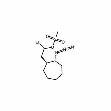 CCC(C[C@@H]1CCCCC[C@H]1N=[N+]=[N-])OS(C)(=O)=O